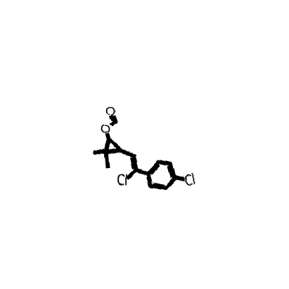 CC1(C)C(C=C(Cl)c2ccc(Cl)cc2)C1OC=O